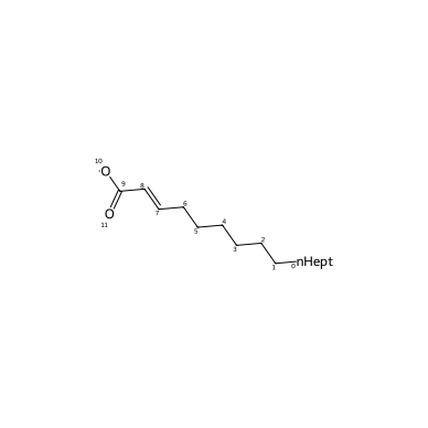 CCCCCCCCCCCCC/C=C/C([O])=O